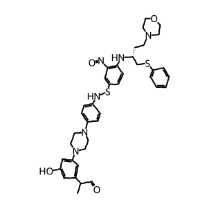 CC(C=O)c1cc(O)cc(N2CCN(c3ccc(NSc4ccc(N[C@H](CCN5CCOCC5)CSc5ccccc5)c(N=O)c4)cc3)CC2)c1